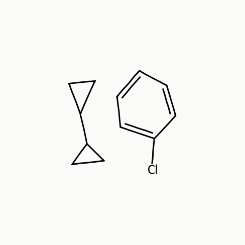 C1CC1C1CC1.Clc1ccccc1